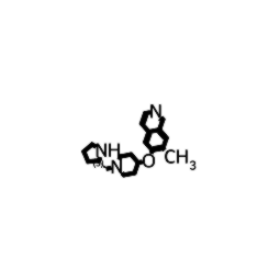 Cc1cc2cnccc2cc1OC1CCN(C[C@@H]2CCCN2)CC1